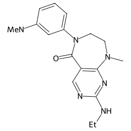 CCNc1ncc2c(n1)N(C)CCN(c1cccc(NC)c1)C2=O